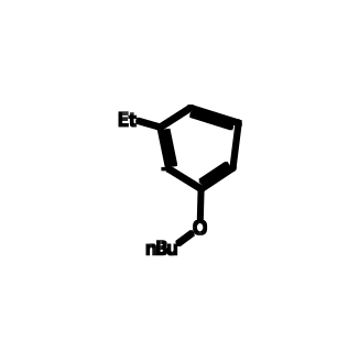 CCCCOc1[c]c(CC)ccc1